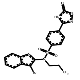 O=c1[nH]c(-c2ccc(S(=O)(=O)N(CCC(F)(F)F)c3sc4ccccc4c3Br)cc2)ns1